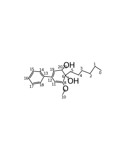 CCCCCCC1(O)C(OC)=CC(c2ccccc2)=CC1O